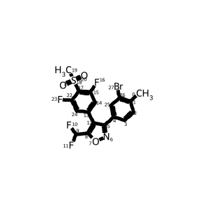 Cc1ccc(-c2noc(C(F)F)c2-c2cc(F)c(S(C)(=O)=O)c(F)c2)cc1Br